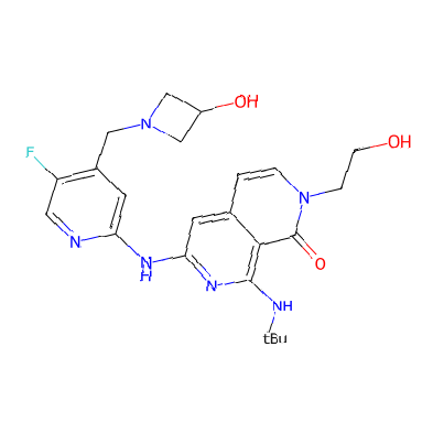 CC(C)(C)Nc1nc(Nc2cc(CN3CC(O)C3)c(F)cn2)cc2ccn(CCO)c(=O)c12